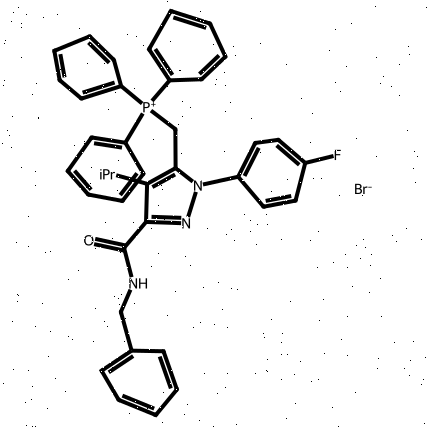 CC(C)c1c(C(=O)NCc2ccccc2)nn(-c2ccc(F)cc2)c1C[P+](c1ccccc1)(c1ccccc1)c1ccccc1.[Br-]